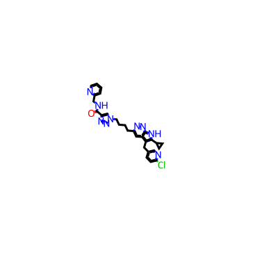 O=C(NCc1ccccn1)c1cn(CCCCc2cc3c(Cc4ccc(Cl)nc4)c(C4CC4)[nH]c3nn2)nn1